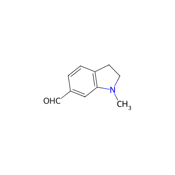 CN1CCc2ccc(C=O)cc21